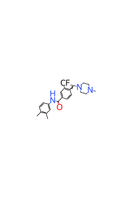 Cc1ccc(NC(=O)c2ccc(CN3CCN(C)CC3)c(C(F)(F)F)c2)cc1C